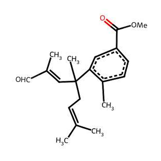 COC(=O)c1ccc(C)c(C(C)(/C=C(\C)C=O)CC=C(C)C)c1